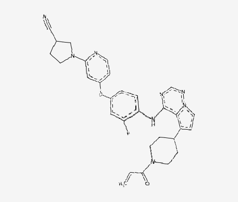 C=CC(=O)N1CCC(c2ccn3ncnc(Nc4ccc(Oc5ccnc(N6CCC(C#N)C6)c5)cc4F)c23)CC1